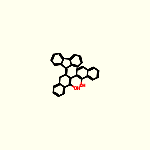 OC1=C(c2ccc3ccccc3c2O)C(=C2c3ccccc3-c3ccccc32)Cc2ccccc21